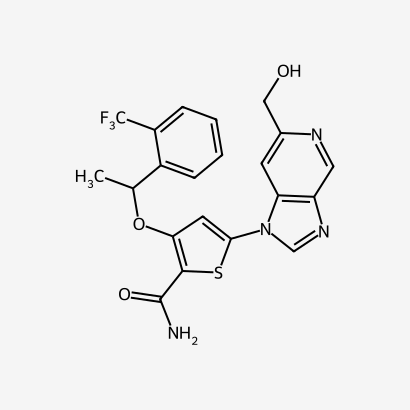 CC(Oc1cc(-n2cnc3cnc(CO)cc32)sc1C(N)=O)c1ccccc1C(F)(F)F